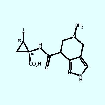 BN1Cc2c[nH]nc2C(C(=O)N[C@]2(C(=O)O)C[C@H]2I)C1